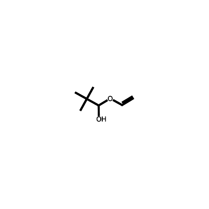 C=COC(O)C(C)(C)C